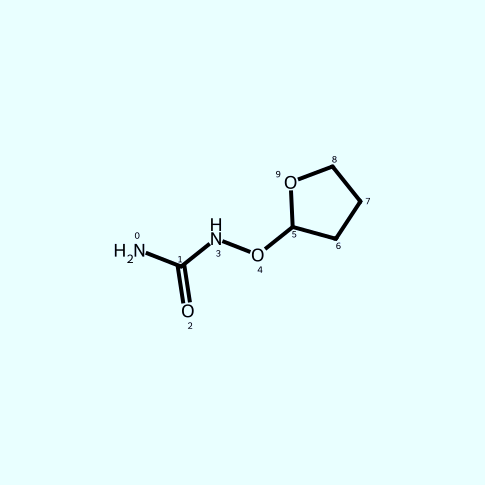 NC(=O)NOC1CCCO1